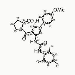 COc1ccc(-c2cc(NC(=O)Nc3c(C)cc(C)cc3C)c(C(=O)N3CCC[C@H]3C(=O)O)s2)cc1